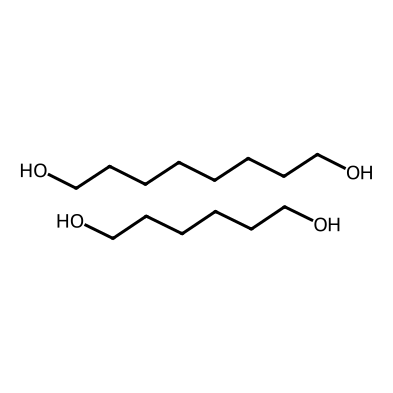 OCCCCCCCCO.OCCCCCCO